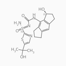 CC(C)(O)c1cnc([S@@](N)(=O)=NC(=O)Nc2c3c(cc4c2[C@@H](O)CC4)CCC3)s1